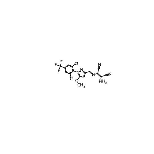 COc1cc(/C=N/C(C#N)=C(\N)C#N)nn1-c1c(Cl)cc(C(F)(F)F)cc1Cl